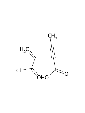 C=CC(=O)Cl.CC#CC(=O)O